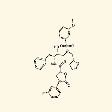 COc1cccc(S(=O)(=O)N(CC2CCCO2)C[C@@H](O)[C@H](Cc2ccccc2)NC(=O)[C@@H]2CN(c3cccc(F)c3)C(=O)O2)c1